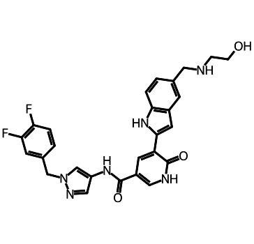 O=C(Nc1cnn(Cc2ccc(F)c(F)c2)c1)c1c[nH]c(=O)c(-c2cc3cc(CNCCO)ccc3[nH]2)c1